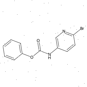 O=C(Nc1ccc(Br)nc1)Oc1ccccc1